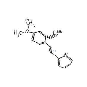 Br.Br.CN(C)c1ccc(/C=C/c2ccccn2)cc1